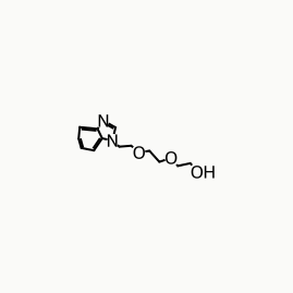 OCCOCCOCCn1cnc2ccccc21